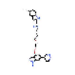 FC(F)(F)c1ccc2[nH]c(CNCCCCOCCOc3cc(-c4ccnnc4)cc4[nH]ncc34)cc2c1